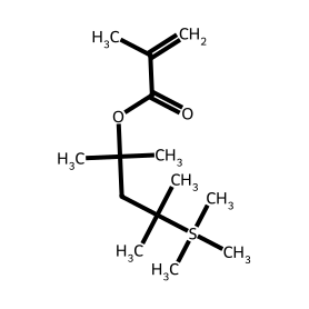 C=C(C)C(=O)OC(C)(C)CC(C)(C)S(C)(C)C